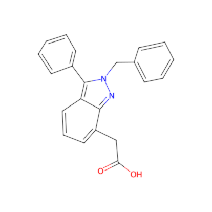 O=C(O)Cc1cccc2c(-c3ccccc3)n(Cc3ccccc3)nc12